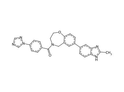 Cc1nc2cc(-c3ccc4c(c3)CN(C(=O)c3ccc(-n5cncn5)cc3)CCO4)ccc2[nH]1